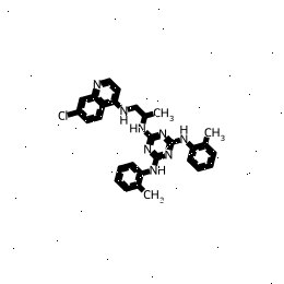 Cc1ccccc1Nc1nc(Nc2ccccc2C)nc(NC(C)CNc2ccnc3cc(Cl)ccc23)n1